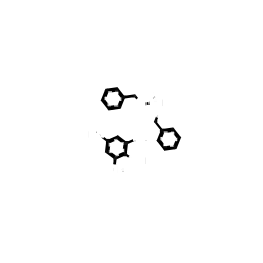 CC(C)(C)c1cc(N)cc(C(C)(C)C)c1O.O=[PH](OCc1ccccc1)OCc1ccccc1